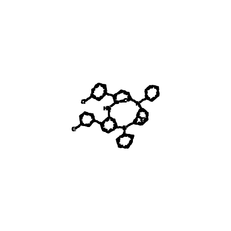 Clc1cccc(-c2ccc3cc2Nc2cc(ccc2-c2cccc(Cl)c2)N(c2ccccc2)c2cccc(c2Cl)N3c2ccccc2)c1